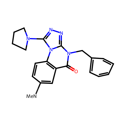 CNc1ccc2c(c1)c(=O)n(Cc1ccccc1)c1nnc(N3CCCC3)n21